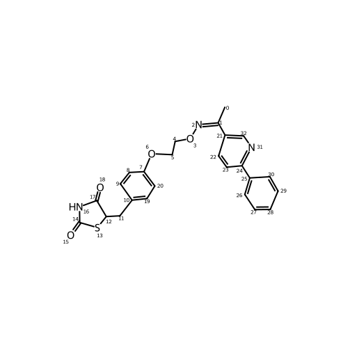 CC(=NOCCOc1ccc(CC2SC(=O)NC2=O)cc1)c1ccc(-c2ccccc2)nc1